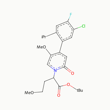 COCCC(C(=O)OC(C)(C)C)n1cc(OC)c(-c2cc(Cl)c(F)cc2C(C)C)cc1=O